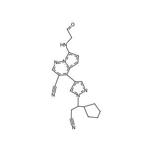 N#CCC(C1CCCC1)n1cc(-c2c(C#N)cnn3c(NCC=O)ccc23)cn1